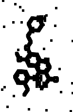 CCc1ccccc1Nc1c(C(N)=O)cnc2cc(OCCN3CCNCC3)c(OC)cc12